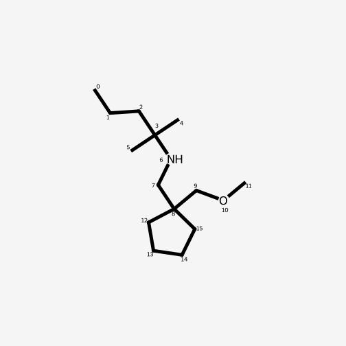 CCCC(C)(C)NCC1(COC)CCCC1